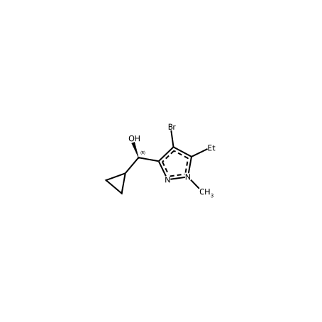 CCc1c(Br)c([C@H](O)C2CC2)nn1C